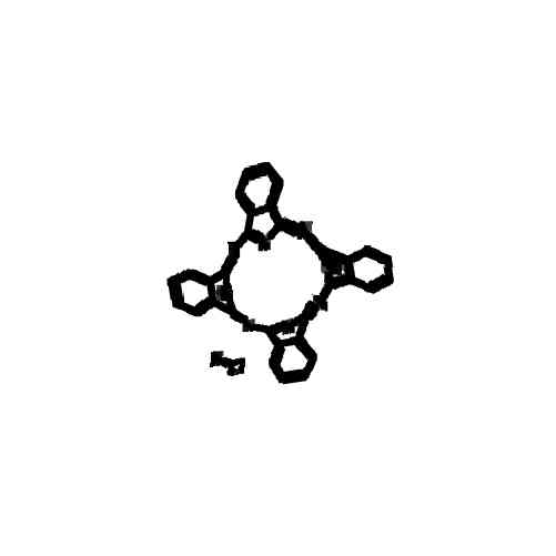 [Cl][K].c1ccc2c(c1)-c1nc-2nc2[nH]c(nc3nc(nc4[nH]c(n1)c1ccccc41)-c1ccccc1-3)c1ccccc21